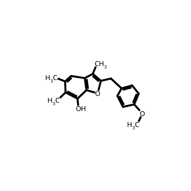 COc1ccc(Cc2oc3c(O)c(C)c(C)cc3c2C)cc1